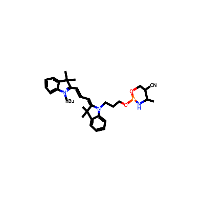 CCCC[N+]1=C(/C=C/C=C2/N(CCCOP3NC(C)C(C#N)CO3)c3ccccc3C2(C)C)C(C)(C)c2ccccc21